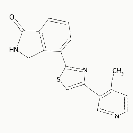 Cc1ccncc1-c1csc(-c2cccc3c2CNC3=O)n1